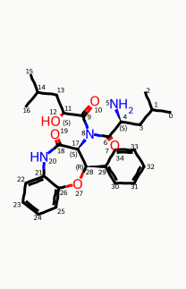 CC(C)C[C@H](N)C(=O)N(C(=O)[C@@H](O)CC(C)C)[C@@H]1C(=O)Nc2ccccc2O[C@@H]1c1ccccc1